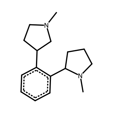 CN1CCC(c2ccccc2C2CCCN2C)C1